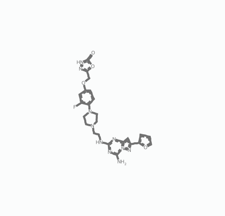 Nc1nc(NCCN2CCN(c3ccc(OCc4n[nH]c(=O)o4)cc3F)CC2)nc2cc(-c3ccco3)nn12